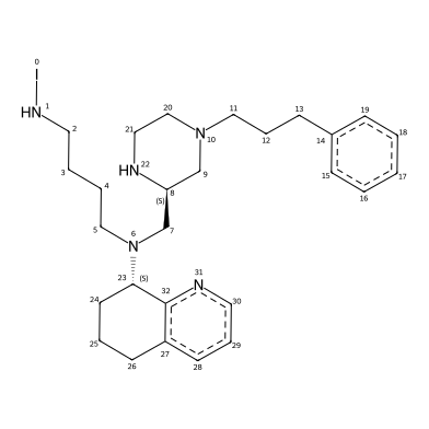 INCCCCN(C[C@@H]1CN(CCCc2ccccc2)CCN1)[C@H]1CCCc2cccnc21